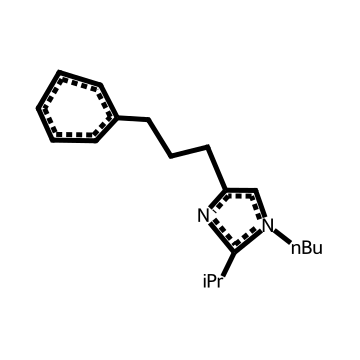 CCCCn1cc(CCCc2ccccc2)nc1C(C)C